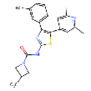 Cc1cc(-c2sc(NC(=O)N3CC(C(=O)O)C3)nc2-c2cccc(C#N)c2)cc(C)n1